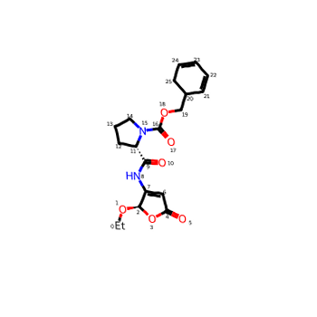 CCO[C@@H]1OC(=O)C=C1NC(=O)[C@@H]1CCCN1C(=O)OCC1C=CC=CC1